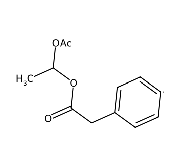 CC(=O)OC(C)OC(=O)Cc1cc[c]cc1